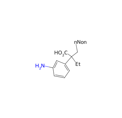 CCCCCCCCCCC(CC)(C(=O)O)c1cccc(N)c1